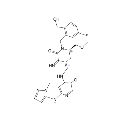 COC[C@H]1C/C(=C/Nc2cc(Nc3ccnn3C)ncc2Cl)C(=N)C(=O)N1Cc1cc(F)ccc1CO